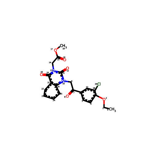 CCOc1ccc(C(=O)Cn2c(=O)n(CC(=O)OC)c(=O)c3ccccc32)cc1Cl